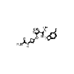 NC(=O)NC1CC(Oc2nonc2C(=NO)N[C@H]2Cc3ccc(F)cc32)C1